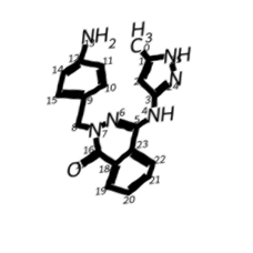 Cc1cc(Nc2nn(Cc3ccc(N)cc3)c(=O)c3ccccc23)n[nH]1